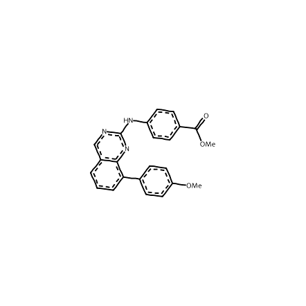 COC(=O)c1ccc(Nc2ncc3cccc(-c4ccc(OC)cc4)c3n2)cc1